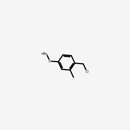 CCCCOc1ccc(CCl)c(C)c1